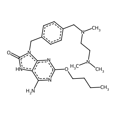 CCCCOc1nc(N)c2[nH]c(=O)n(Cc3ccc(CN(C)CCN(C)C)cc3)c2n1